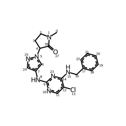 CN1CCC(n2cc(Nc3ncc(Cl)c(NCc4ccccc4)n3)cn2)C1=O